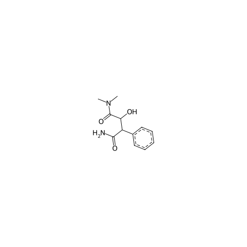 CN(C)C(=O)C(O)C(C(N)=O)c1ccccc1